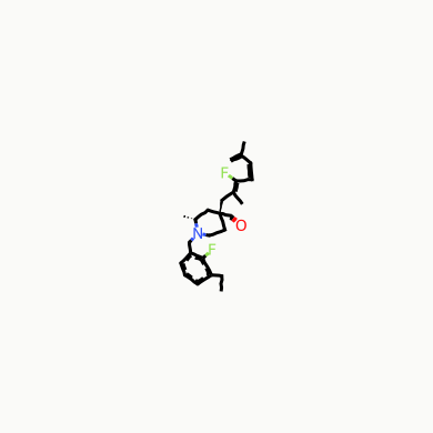 C=C(C)/C=C\C(F)=C(/C)C[C@@]1(C=O)CCN(Cc2cccc(CC)c2F)[C@H](C)C1